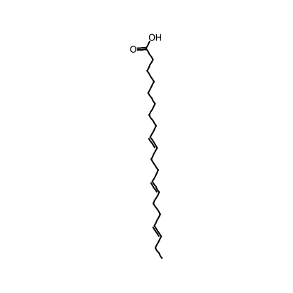 CCC=CCCC=CCCC=CCCCCCCCC(=O)O